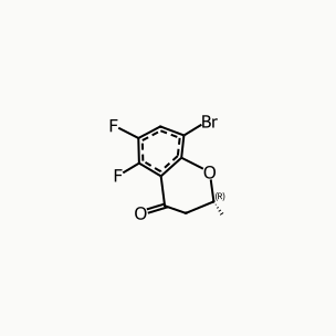 C[C@@H]1CC(=O)c2c(F)c(F)cc(Br)c2O1